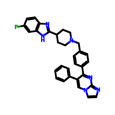 Fc1ccc2nc(C3CCN(Cc4ccc(-c5nc6nccn6cc5-c5ccccc5)cc4)CC3)[nH]c2c1